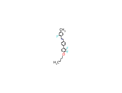 C=CCCCOc1ccc(-c2ccc(/C=C/c3ccc(C)cc3F)cc2)c(F)c1F